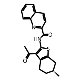 CC(=O)c1c(NC(=O)c2ccc3ccccc3n2)sc2c1CC[C@H](C)C2